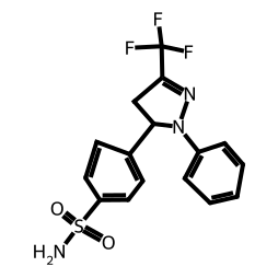 NS(=O)(=O)c1ccc(C2CC(C(F)(F)F)=NN2c2ccccc2)cc1